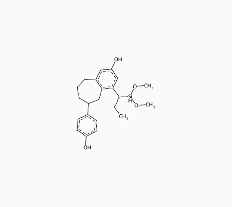 CCC(c1cc(O)cc2c1CC(c1ccc(O)cc1)CCC2)[SiH](OC)OC